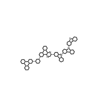 c1cc(-c2ccc3c4ccccc4c4ccccc4c3c2)cc(-c2ccc3c4ccccc4c4nc(-c5ccc6c(c5)c5ccccc5n6-c5ccc6c(c5)c5ccccc5n6-c5ccc6sc7ccccc7c6c5)cnc4c3c2)c1